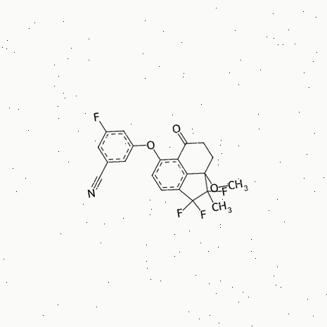 COC12CCC(=O)c3c(Oc4cc(F)cc(C#N)c4)ccc(c31)C(F)(F)C2(C)F